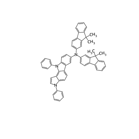 CC1(C)c2ccccc2-c2ccc(N(c3ccc4c(c3)C(C)(C)c3ccccc3-4)c3ccc4c(c3)c3ccc5c(ccn5-c5ccccc5)c3n4-c3ccccc3)cc21